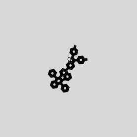 Cc1ccc(-c2oc3cc(-c4ccc5c6c(cccc46)-c4c-5c(-c5ccccc5)c5ccccc5c4-c4ccccc4)ccc3c2-c2ccc(C)cc2)cc1